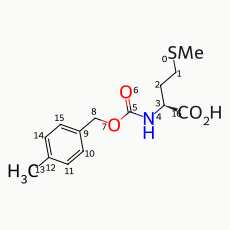 CSCC[C@H](NC(=O)OCc1ccc(C)cc1)C(=O)O